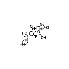 CCC(O)(CN1CCNCC1)c1cc(F)c2c(c1)C(=O)N(Cc1ncc(Cl)cn1)[C@@H]2OCCO